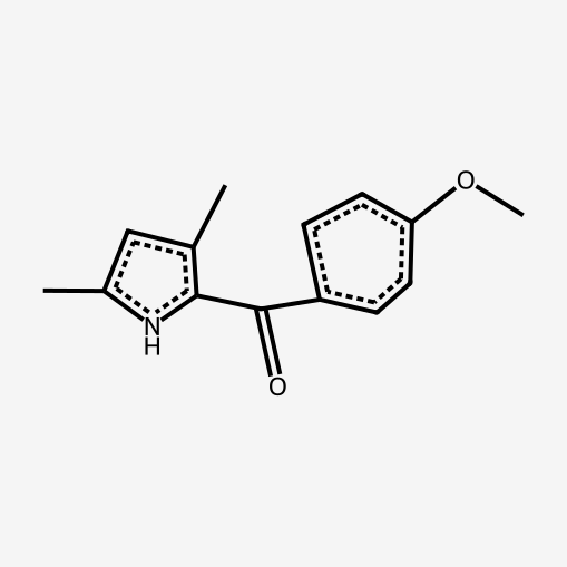 COc1ccc(C(=O)c2[nH]c(C)cc2C)cc1